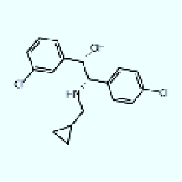 O[C@@H](c1cccc(Cl)c1)[C@@H](NCC1CC1)c1ccc(Cl)cc1